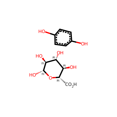 O=C(O)[C@@H]1O[C@H](O)[C@@H](O)[C@H](O)[C@H]1O.Oc1ccc(O)cc1